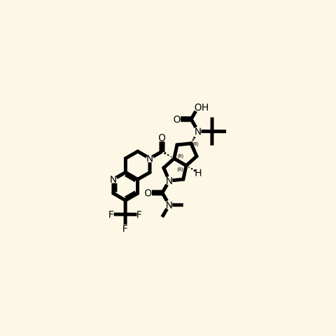 CN(C)C(=O)N1C[C@@H]2C[C@@H](N(C(=O)O)C(C)(C)C)C[C@]2(C(=O)N2CCc3ncc(C(F)(F)F)cc3C2)C1